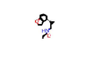 CCC(=O)NCC1C[C@H]1c1cccc2c1CCO2